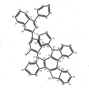 Cc1cc(-c2nc(-c3ccccc3)c3ccccc3n2)ccc1-n1c2ccccc2c2c3sc4ccccc4c3c3c4ccccc4n(-c4ccccc4)c3c21